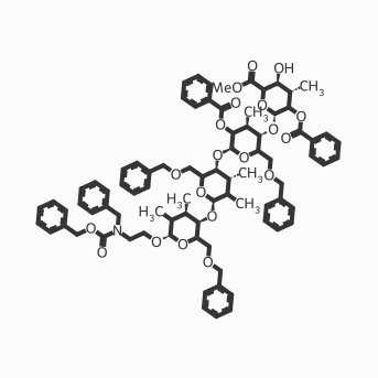 COC(=O)C1O[C@@H](O[C@@H]2C(COCc3ccccc3)O[C@@H](O[C@@H]3C(COCc4ccccc4)O[C@H](O[C@H]4C(COCc5ccccc5)O[C@H](OCCN(Cc5ccccc5)C(=O)OCc5ccccc5)C(C)[C@H]4C)C(C)[C@H]3C)C(OC(=O)c3ccccc3)[C@H]2C)C(OC(=O)c2ccccc2)[C@@H](C)[C@@H]1O